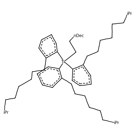 CCCCCCCCCCC[CH2][Ti]([c]1ccccc1CCCCCCC(C)C)([c]1ccccc1CCCCCCC(C)C)[c]1ccccc1CCCCCCC(C)C